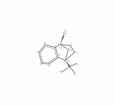 CC(C)(C)[C@]12CC[C@H](O1)c1ccccc12